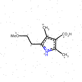 COCCc1[nH]c(C)c(C(=O)O)c1C